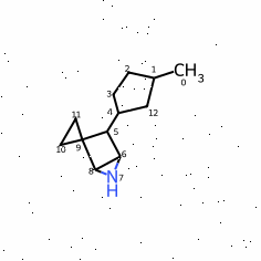 CC1CCC(C2C3NC3C23CC3)C1